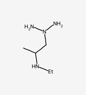 CCNC(C)CN(N)N